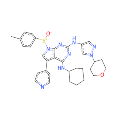 Cc1ccc([S+]([O-])n2cc(-c3ccncc3)c3c(NC4CCCCC4)nc(Nc4cnn(C5CCOCC5)c4)nc32)cc1